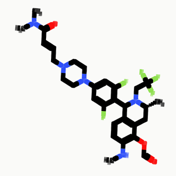 CNc1ccc2c(c1OC=O)C[C@@H](C)N(CC(F)(F)F)C2c1c(F)cc(N2CCN(C/C=C/C(=O)N(C)C)CC2)cc1F